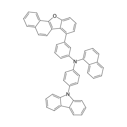 c1cc(-c2cccc3oc4c5ccccc5ccc4c23)cc(N(c2ccc(-n3c4ccccc4c4ccccc43)cc2)c2cccc3ccccc23)c1